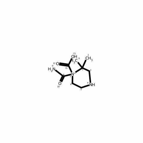 CC1(C)CNCC[N+]1(C(N)=O)C(=O)O